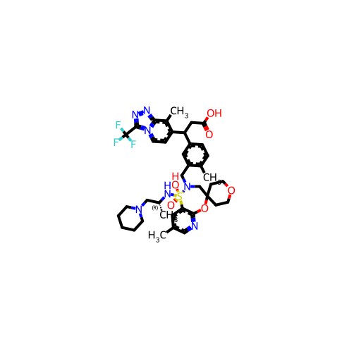 Cc1cnc2c(c1)S(=O)(O)(N[C@H](C)CN1CCCCC1)N(Cc1cc(C(CC(=O)O)c3ccn4c(C(F)(F)F)nnc4c3C)ccc1C)CC1(CCOCC1)O2